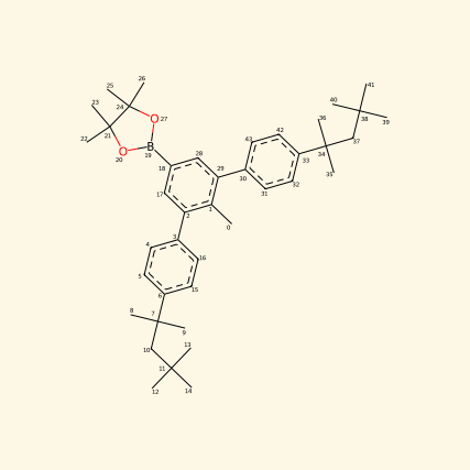 Cc1c(-c2ccc(C(C)(C)CC(C)(C)C)cc2)cc(B2OC(C)(C)C(C)(C)O2)cc1-c1ccc(C(C)(C)CC(C)(C)C)cc1